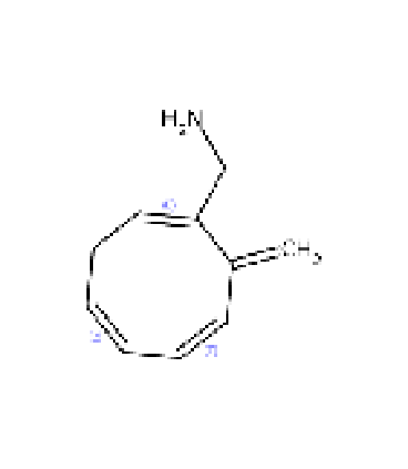 C=C1/C=C\C=C/C/C=C\1CN